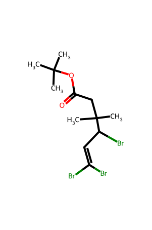 CC(C)(C)OC(=O)CC(C)(C)C(Br)C=C(Br)Br